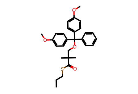 CCCSC(=O)C(C)(C)COC(c1ccccc1)(c1ccc(OC)cc1)c1ccc(OC)cc1